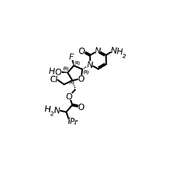 CC(C)C(N)C(=O)OC[C@@]1(CCl)O[C@@H](n2ccc(N)nc2=O)[C@H](F)[C@@H]1O